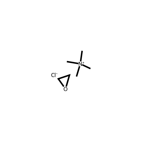 C1CO1.C[N+](C)(C)C.[Cl-]